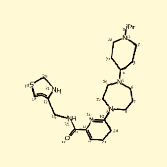 CC(C)N1CCC(N2CCCN(C3=NC(C(=O)NCC4=CSCN4)=CCC3)CC2)CC1